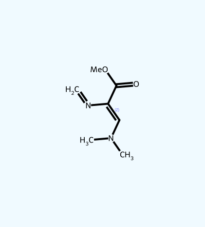 C=N/C(=C\N(C)C)C(=O)OC